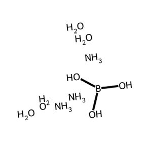 N.N.N.O.O.O.O.OB(O)O